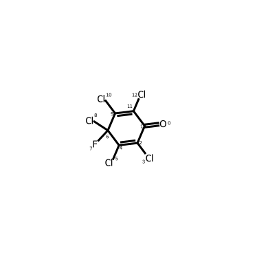 O=C1C(Cl)=C(Cl)C(F)(Cl)C(Cl)=C1Cl